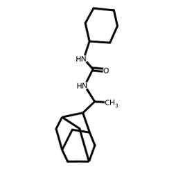 CC(NC(=O)NC1CCCCC1)C1C2CC3CC(C2)CC1C3